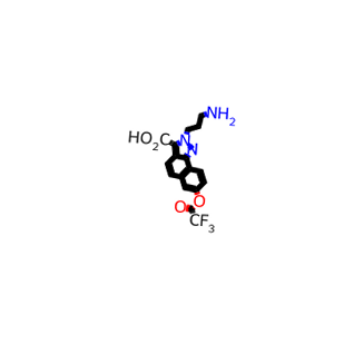 NCCCn1nc2c(ccc3cc(OC(=O)C(F)(F)F)ccc32)c1C(=O)O